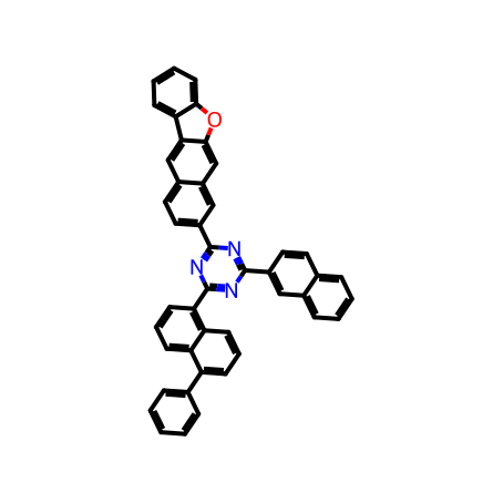 c1ccc(-c2cccc3c(-c4nc(-c5ccc6ccccc6c5)nc(-c5ccc6cc7c(cc6c5)oc5ccccc57)n4)cccc23)cc1